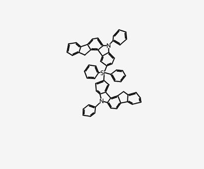 c1ccc(-n2c3ccc([Si](c4ccccc4)(c4ccccc4)c4ccc5c(c4)c4c6c(ccc4n5-c4ccccc4)-c4ccccc4C6)cc3c3c4c(ccc32)-c2ccccc2C4)cc1